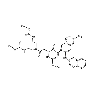 CC(C)(C)OC(=O)NCCN(CCNC(=O)OC(C)(C)C)C(=O)C[C@H](NC(=O)OC(C)(C)C)C(=O)NN(Cc1ccc(C(F)(F)F)cc1)C(=O)Nc1cnc2ccccc2c1